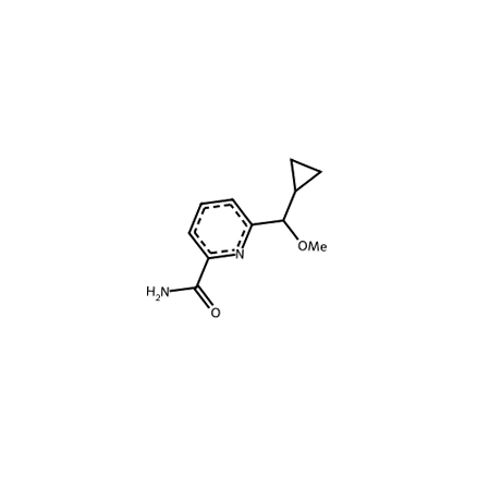 COC(c1cccc(C(N)=O)n1)C1CC1